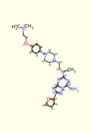 CN(C)CCOc1ccc(N2CCN(CCN(C)c3nc(N)n4nc(-c5ccco5)nc4n3)CC2)cc1